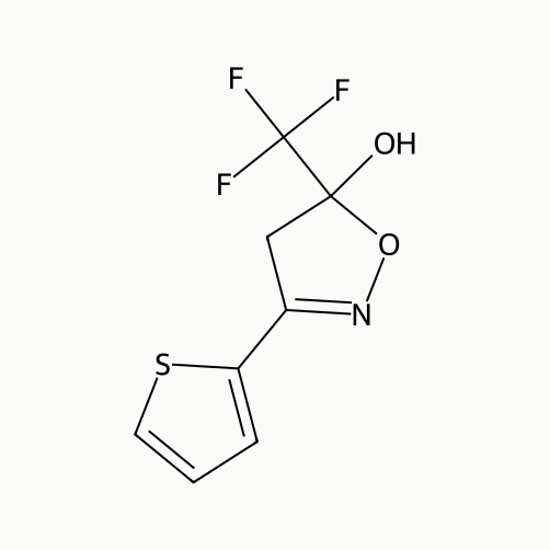 OC1(C(F)(F)F)CC(c2cccs2)=NO1